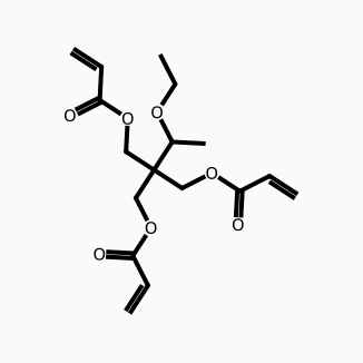 C=CC(=O)OCC(COC(=O)C=C)(COC(=O)C=C)C(C)OCC